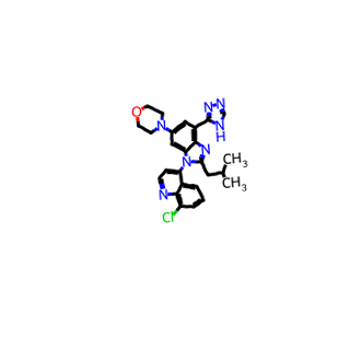 CC(C)Cc1nc2c(-c3nnc[nH]3)cc(N3CCOCC3)cc2n1-c1ccnc2c(Cl)cccc12